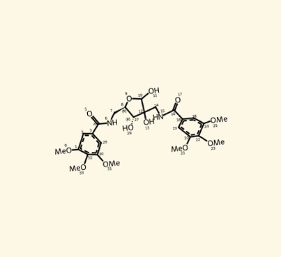 COc1cc(C(=O)NC[C@H]2OC(O)C(O)(CNC(=O)c3cc(OC)c(OC)c(OC)c3)[C@@H]2O)cc(OC)c1OC